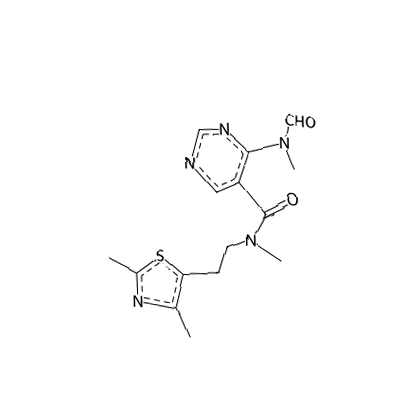 Cc1nc(C)c(CCN(C)C(=O)c2cncnc2N(C)C=O)s1